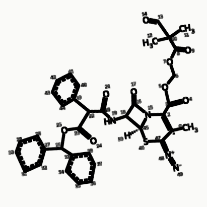 CC1=C(C(=O)OCOC(=O)C(C)(C)C=O)N2C(=O)C(NC(=O)C(C(=O)OC(c3ccccc3)c3ccccc3)c3ccccc3)[C@@H]2SC1=[N+]=[N-]